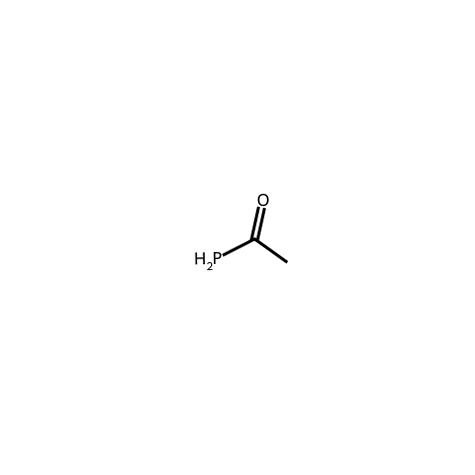 CC(=O)P